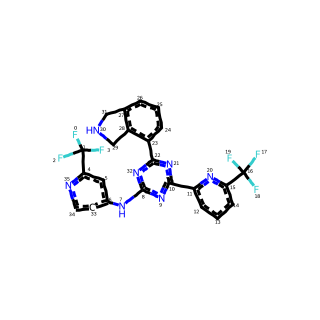 FC(F)(F)c1cc(Nc2nc(-c3cccc(C(F)(F)F)n3)nc(-c3cccc4c3CNC4)n2)ccn1